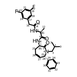 CC(C)CN1C(=O)[C@H](NC(=O)[C@H](C)NC(=O)Cc2cc(F)cc(F)c2)CC=C[C@H]1c1ccccc1